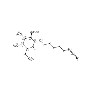 CC(=O)N[C@H]1[C@H](OCCCCCN=[N+]=[N-])OC(COC(C)=O)[C@H](OC(C)=O)[C@@H]1OC(C)=O